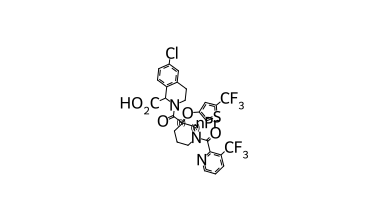 CCC[C@H]1N(C(=O)c2ncccc2C(F)(F)F)CCC[C@]1(Oc1csc(C(F)(F)F)c1)C(=O)N1CCc2cc(Cl)ccc2C1C(=O)O